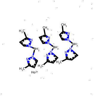 Cc1ccn([BH2-]n2ccc(C)n2)n1.Cc1ccn([BH2-]n2ccc(C)n2)n1.Cc1ccn([BH2-]n2ccc(C)n2)n1.[Ho+3]